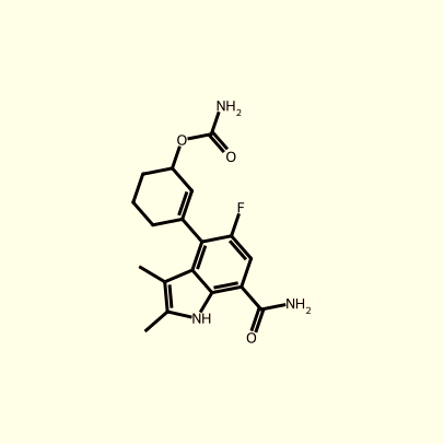 Cc1[nH]c2c(C(N)=O)cc(F)c(C3=CC(OC(N)=O)CCC3)c2c1C